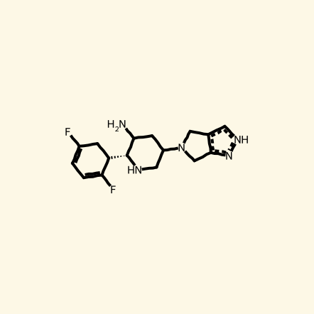 NC1CC(N2Cc3c[nH]nc3C2)CN[C@@H]1C1CC(F)=CC=C1F